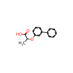 CC(Oc1cccc(-c2ccccc2)c1)C(=O)O